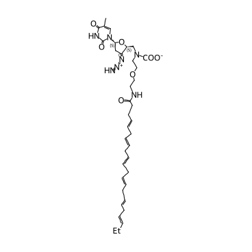 CCC=CCC=CCC=CCC=CCC=CCC=CCCC(=O)NCCOCCN(C[C@@H]1O[C@H](n2cc(C)c(=O)[nH]c2=O)C[C@@H]1N=[N+]=N)C(=O)[O-]